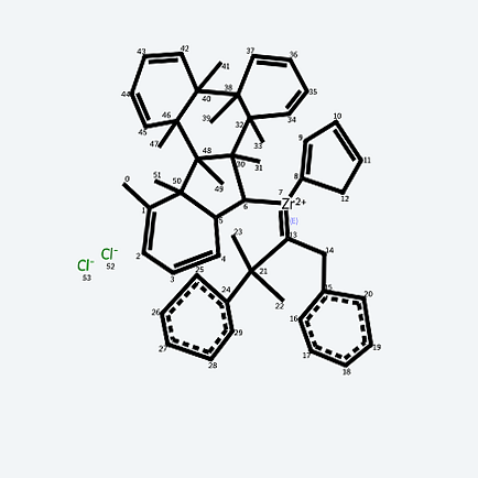 CC1=CC=CC2[CH](/[Zr+2]([C]3=CC=CC3)=[C](/Cc3ccccc3)C(C)(C)c3ccccc3)C3(C)C4(C)C=CC=CC4(C)C4(C)C=CC=CC4(C)C3(C)C12C.[Cl-].[Cl-]